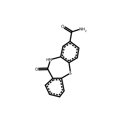 NC(=O)c1ccc2c(c1)NC(=O)c1ccccc1S2